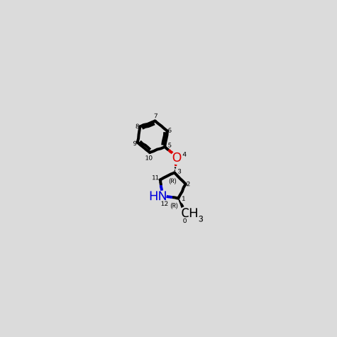 C[C@@H]1C[C@@H](Oc2ccccc2)CN1